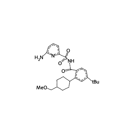 COCC1CCC(c2cc(C(C)(C)C)ccc2C(=O)NS(=O)(=O)c2cccc(N)n2)CC1